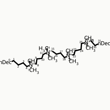 CCCCCCCCCCCCCC[N+](C)(C)CCCC[N+](C)(C)CCCC[N+](C)(C)CCCC[N+](C)(C)CCCCCCCCCCCC